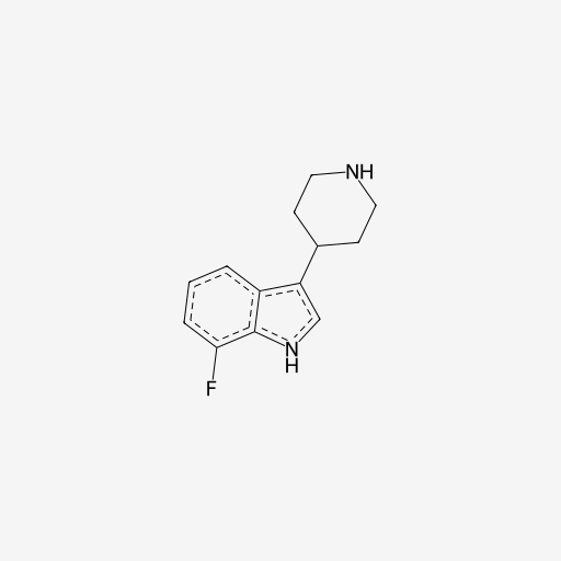 Fc1cccc2c(C3CCNCC3)c[nH]c12